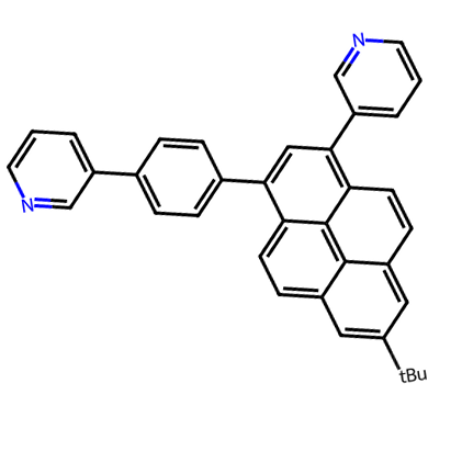 CC(C)(C)c1cc2ccc3c(-c4ccc(-c5cccnc5)cc4)cc(-c4cccnc4)c4ccc(c1)c2c34